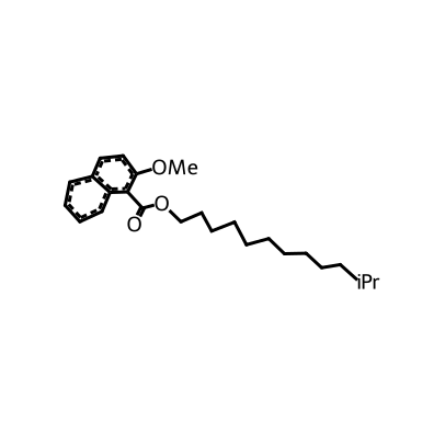 COc1ccc2ccccc2c1C(=O)OCCCCCCCCCCC(C)C